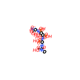 O=C(O)C1=NN(c2ccccc2)C(=O)C1N=Nc1ccc(N=Nc2c(S(=O)(=O)O)cc3cc(S(=O)(=O)O)c(N=Nc4ccc([N+](=O)[O-])c(C(=O)O)c4)c(O)c3c2O)c(S(=O)(=O)O)c1